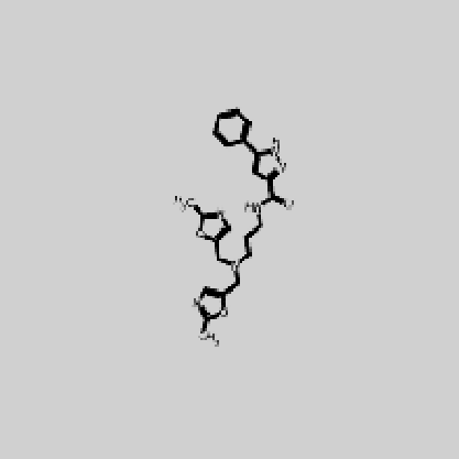 Cc1ncc(CN(CCCNC(=O)c2cc(-c3ccccc3)[nH]n2)Cc2cnc(C)o2)o1